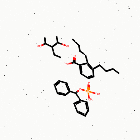 CCC(C(C)O)C(C)O.CCCCc1cccc(C(=O)O)c1CCCC.O=P(O)(O)OC(c1ccccc1)c1ccccc1